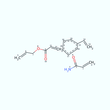 C=CC(N)=O.C=CCOC(=O)C=C.C=Cc1ccccc1